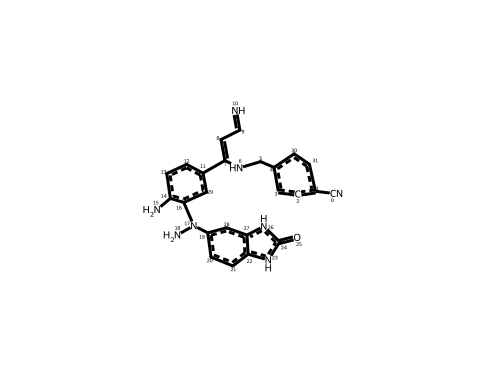 N#Cc1ccc(CN/C(=C\C=N)c2ccc(N)c(N(N)c3ccc4[nH]c(=O)[nH]c4c3)c2)cc1